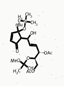 CCCCC1(O[Si](C)(C)C)C=CC(=O)C1C(O)/C=C/[C@H](OC(C)=O)[C@@H](COC(C)=O)OC(C)(C)OC